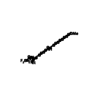 CCN(CC)c1ccc(Nc2cccc(CCCOCCOCCOCCOCCNC(=O)c3cccc(CCCOCCOCCOCCOCCOCCOCCOCCOCCOC)c3)c2)c(-c2cc(C(=O)NCc3cccc(C(F)(F)F)c3)ccn2)c1